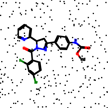 CC(C)(C)OC(=O)Nc1ccc(C2=NN(C(=O)c3ccc(Br)cc3F)C(c3ccccn3)C2)cc1